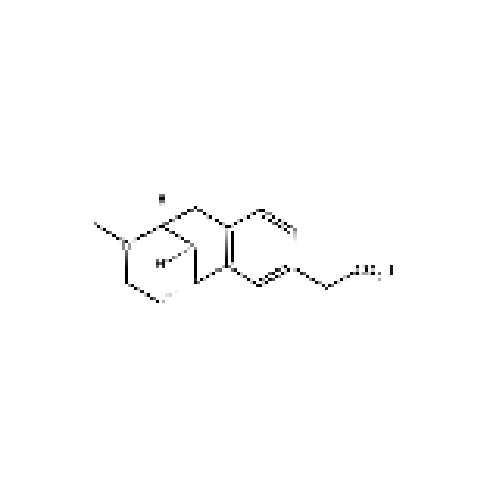 CN1CC[C@@]23CCCC[C@@H]2[C@@H]1Cc1ccc(CC(=O)O)cc13